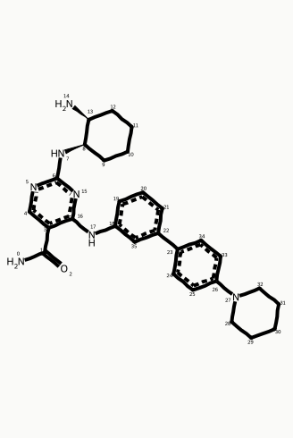 NC(=O)c1cnc(N[C@@H]2CCCC[C@@H]2N)nc1Nc1cccc(-c2ccc(N3CCCCC3)cc2)c1